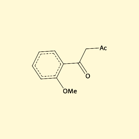 COc1ccccc1C(=O)CC(C)=O